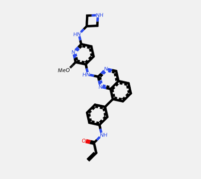 C=CC(=O)Nc1cccc(-c2cccc3cnc(Nc4ccc(NC5CNC5)nc4OC)nc23)c1